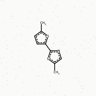 Cc1ccc(-c2ncc(C)s2)s1